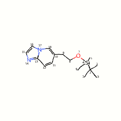 CC(C)(C)[Si](C)(C)OCCc1ccc2nccn2c1